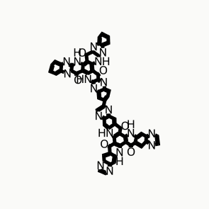 O=c1c2cc3nccnc3cc2[nH]c2c1c1[nH]c3cc4ncc(-c5ccc6nc7c(=O)c8c9[nH]c%10nc%11ccccc%11nc%10c(=O)c9c9[nH]c%10nc%11ccccc%11nc%10c(=O)c9c8[nH]c7nc6c5)nc4cc3c(=O)c1c1[nH]c3cc4nccnc4cc3c(=O)c21